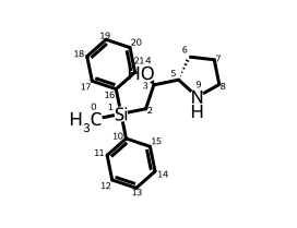 C[Si](C[C@@H](O)[C@@H]1CCCN1)(c1ccccc1)c1ccccc1